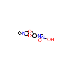 O=C1N(CCO)CCN1c1ccc2c(c1)COC1(CCN(C3CCC3)CC1)O2